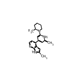 C=C1C=C(c2ccnc3[nH]c(C)cc23)C=C(N2CCCCC2C(F)(F)F)N1